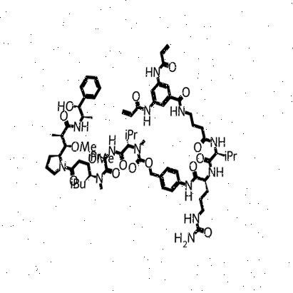 C=CC(=O)Nc1cc(NC(=O)C=C)cc(C(=O)NCCCC(=O)N[C@H](C(=O)N[C@@H](CCCNC(N)=O)C(=O)Nc2ccc(COC(=O)N(C)[C@H](C(=O)N[C@H](C(=O)N(C)[C@@H]([C@H](C)CC)[C@@H](CC(=O)N3CCC[C@H]3[C@H](OC)[C@@H](C)C(=O)N[C@H](C)[C@@H](O)c3ccccc3)OC)C(C)C)C(C)C)cc2)C(C)C)c1